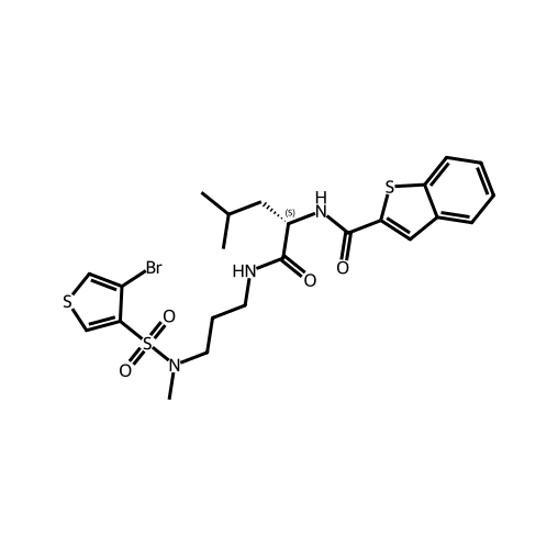 CC(C)C[C@H](NC(=O)c1cc2ccccc2s1)C(=O)NCCCN(C)S(=O)(=O)c1cscc1Br